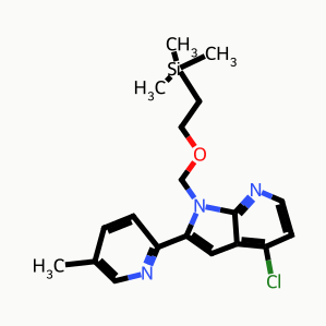 Cc1ccc(-c2cc3c(Cl)ccnc3n2COCC[Si](C)(C)C)nc1